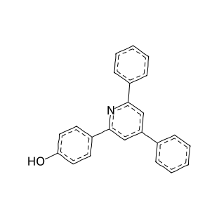 Oc1ccc(-c2cc(-c3ccccc3)cc(-c3ccccc3)n2)cc1